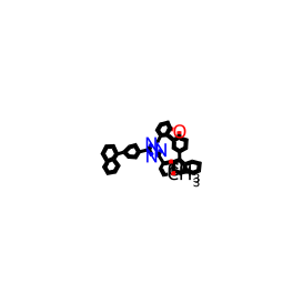 C/C=C\C(=C/C)c1nc(-c2ccc(-c3cccc4ccccc34)cc2)nc(-c2cccc3oc4ccc(-c5cccc6ccccc56)cc4c23)n1